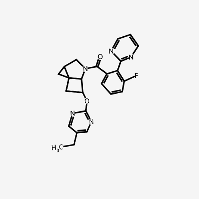 CCc1cnc(OC2CC34CC3CN(C(=O)c3cccc(F)c3-c3ncccn3)C24)nc1